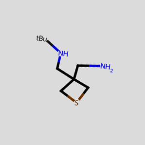 CC(C)(C)NCC1(CN)CSC1